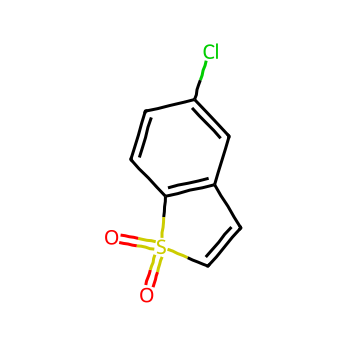 O=S1(=O)C=Cc2cc(Cl)ccc21